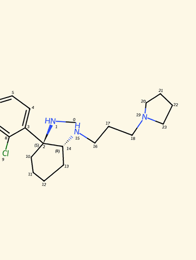 CN[C@]1(c2ccccc2Cl)CCCC[C@H]1NCCCN1CCCC1